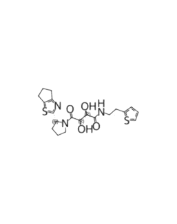 O=C(NCCc1cccs1)[C@H](O)[C@@H](O)C(=O)N1CCC[C@@H]1c1nc2c(s1)CCC2